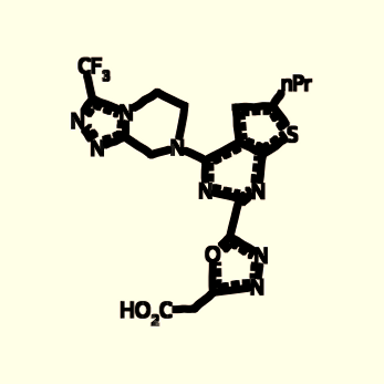 CCCc1cc2c(N3CCn4c(nnc4C(F)(F)F)C3)nc(-c3nnc(CC(=O)O)o3)nc2s1